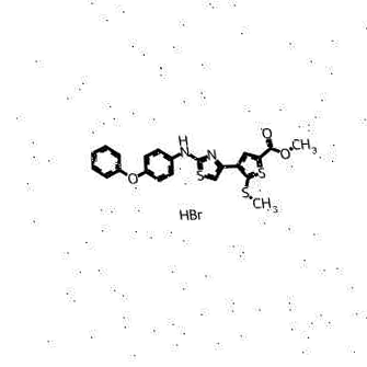 Br.COC(=O)c1cc(-c2csc(Nc3ccc(Oc4ccccc4)cc3)n2)c(SC)s1